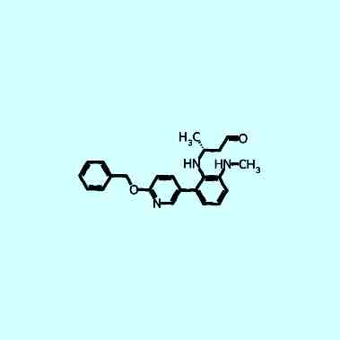 CNc1cccc(-c2ccc(OCc3ccccc3)nc2)c1N[C@H](C)CC=O